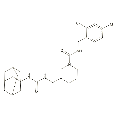 O=C(NCC1CCCN(C(=O)NCc2ccc(Cl)cc2Cl)C1)NC12CC3CC(CC(C3)C1)C2